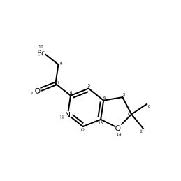 CC1(C)Cc2cc(C(=O)CBr)ncc2O1